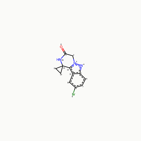 O=C1Cn2nc3ccc(Br)cc3c2C2(CC2)N1